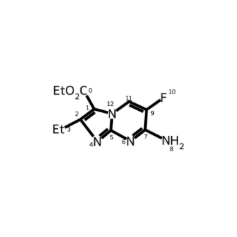 CCOC(=O)c1c(CC)nc2nc(N)c(F)cn12